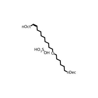 CCCCCCCC/C=C\CCCCCCCCOCCCCCCCCCCCCCCCC.O=S(=O)(O)O